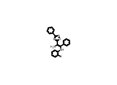 N/C(=C(\Nc1ccccc1F)c1ccccc1)c1nc(-c2ccccc2)no1